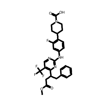 COC(=O)CC(Cc1ccccc1)c1nc(Nc2ccc(C3CCN(C(=O)O)CC3)c(F)c2)ncc1C(F)(F)F